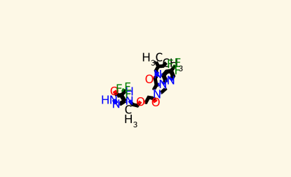 CCC(CC)CN1C(=O)C2CN(C(=O)CCOC[C@H](C)Nc3cn[nH]c(=O)c3C(F)(F)F)CCN2c2ncc(C(F)(F)F)cc21